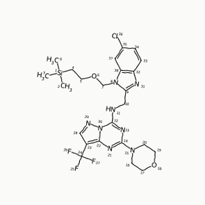 C[Si](C)(C)CCOCn1c(CNc2nc(N3CCOCC3)nc3c(C(F)(F)F)cnn23)nc2ccc(Cl)cc21